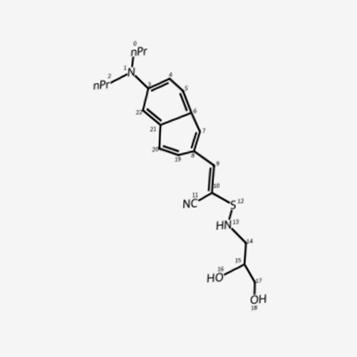 CCCN(CCC)c1ccc2cc(/C=C(\C#N)SNCC(O)CO)ccc2c1